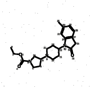 CCOC(=O)N1CCC(N2CCC(N3C(=O)Cc4ccc(C)cc43)CC2)C1